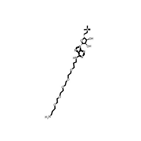 C=P(C)(C)CC[C@H]1O[C@@H](n2cnc3c(NCCCOCCOCCOCCOCCOCCCN)ncnc32)[C@H](O)[C@@H]1O